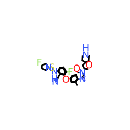 Cc1cc(Oc2c(F)ccc(NSN3CCC(F)C3)c2C#N)ccc1/N=C\N(C=O)C1COC2(CCNCC2)C1